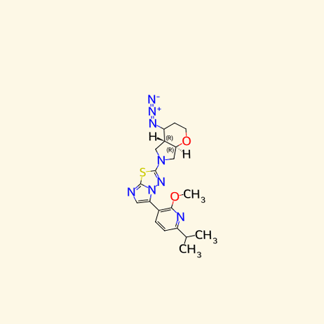 COc1nc(C(C)C)ccc1-c1cnc2sc(N3C[C@@H]4OCCC(N=[N+]=[N-])[C@H]4C3)nn12